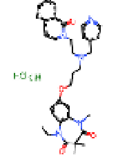 CCN1C(=O)C(C)(C)C(=O)N(C)c2cc(OCCCN(CCn3ccc4ccccc4c3=O)Cc3ccncc3)ccc21.Cl.Cl